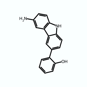 Nc1ccc2[nH]c3ccc(-c4ccccc4O)cc3c2c1